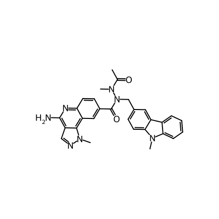 CC(=O)N(C)N(Cc1ccc2c(c1)c1ccccc1n2C)C(=O)c1ccc2nc(N)c3cnn(C)c3c2c1